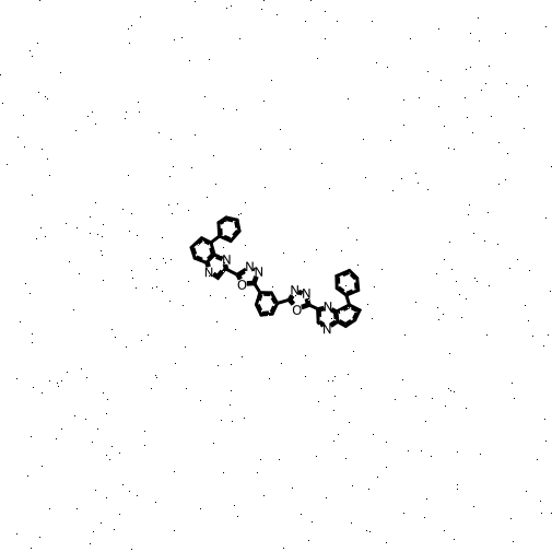 c1ccc(-c2cccc3ncc(-c4nnc(-c5cccc(-c6nnc(-c7cnc8cccc(-c9ccccc9)c8n7)o6)c5)o4)nc23)cc1